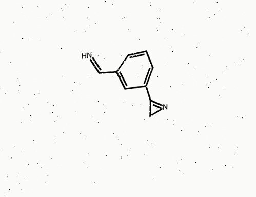 N=Cc1cccc(C2=NC2)c1